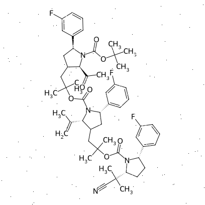 C=C(C)[C@H]1C(CC(C)(C)OC(=O)N2[C@H](c3cccc(F)c3)CC[C@@H]2C(C)(C)C#N)C[C@@H](c2cccc(F)c2)N1C(=O)OC(C)(C)CC1C[C@@H](c2cccc(F)c2)N(C(=O)OC(C)(C)C)[C@H]1C(C)=O